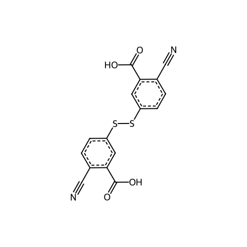 N#Cc1ccc(SSc2ccc(C#N)c(C(=O)O)c2)cc1C(=O)O